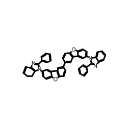 C1=Cc2nc(-c3ccccc3)n(-c3ccc4oc5ccc(-c6ccc7oc8ccc(-n9c(-c%10ccccc%10)nc%10ccccc%109)cc8c7c6)cc5c4c3)c2CC1